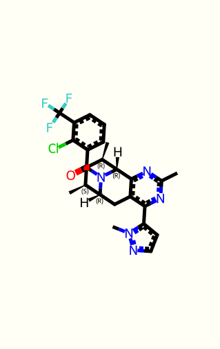 Cc1nc(-c2ccnn2C)c2c(n1)[C@H]1[C@H](C)C[C@H](C)[C@@H](C2)N1C(=O)c1cccc(C(F)(F)F)c1Cl